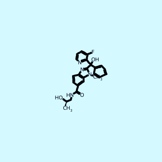 C[C@@H](O)CNC(=O)c1ccc2nc(C(O)(c3ccccc3)c3ncccc3F)n(C)c2c1